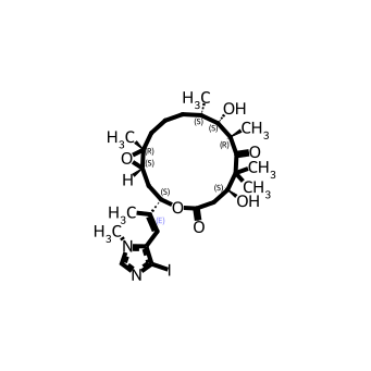 C/C(=C\c1c(I)ncn1C)[C@@H]1C[C@@H]2O[C@]2(C)CCC[C@H](C)[C@H](O)[C@@H](C)C(=O)C(C)(C)[C@@H](O)CC(=O)O1